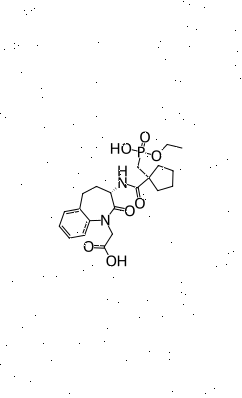 CCOP(=O)(O)CC1(C(=O)N[C@H]2CCc3ccccc3N(CC(=O)O)C2=O)CCCC1